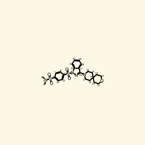 CN(C)S(=O)(=O)c1ccc(S(=O)(=O)n2nc(N3CCC4(CCOCC4)CC3)c3ccccc32)cc1